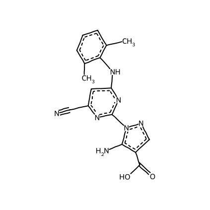 Cc1cccc(C)c1Nc1cc(C#N)nc(-n2ncc(C(=O)O)c2N)n1